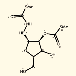 CSC(=O)NB[C@@H]1O[C@H](CO)C(O)[C@@H]1OC(=O)SC